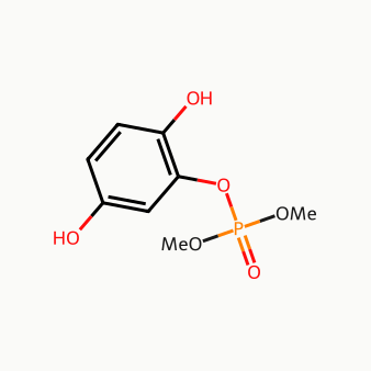 COP(=O)(OC)Oc1cc(O)ccc1O